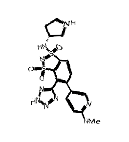 CNc1ccc(-c2ccc3c(c2-c2nn[nH]n2)S(=O)(=O)N=S3(=O)N[C@@H]2CCNC2)cn1